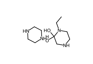 C1CNCCN1.CCN1CCNCC1(O)O